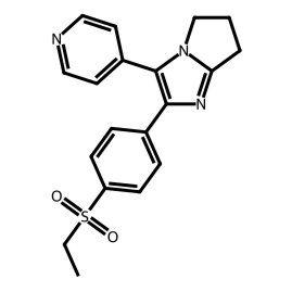 CCS(=O)(=O)c1ccc(-c2nc3n(c2-c2ccncc2)CCC3)cc1